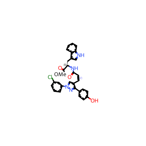 COC(=O)[C@H](Cc1c[nH]c2ccccc12)NC(=O)/C=C\c1cn(-c2cccc(Cl)c2)nc1-c1ccc(O)cc1